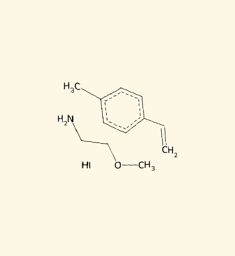 C=Cc1ccc(C)cc1.COCCN.I